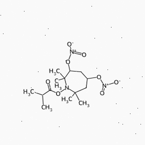 CC(C)C(=O)ON1C(C)(C)CC(O[N+](=O)[O-])CC(O[N+](=O)[O-])C1(C)C